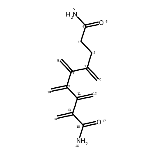 C=C(CCC(N)=O)C(=C)C(=C)C(=C)C(=C)C(N)=O